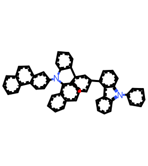 c1ccc(-n2c3ccccc3c3c(-c4cccc(-c5ccccc5N(c5ccc6c(ccc7ccccc76)c5)c5cccc6ccccc56)c4)cccc32)cc1